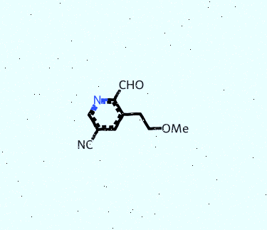 COCCc1cc(C#N)cnc1C=O